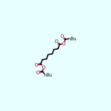 CCCCC(=O)OC(=O)CCCCCCC(=O)OC(=O)CCCC